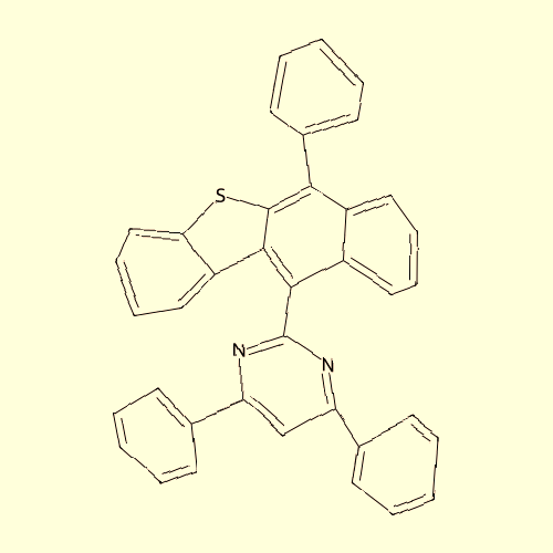 c1ccc(-c2cc(-c3ccccc3)nc(-c3c4ccccc4c(-c4ccccc4)c4sc5ccccc5c34)n2)cc1